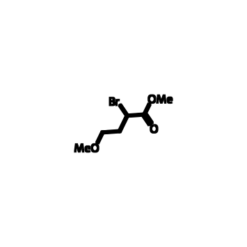 COCCC(Br)C(=O)OC